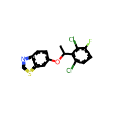 CC(Oc1ccc2n[c]sc2c1)c1c(Cl)ccc(F)c1Cl